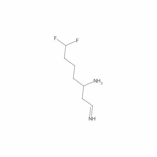 N=CCC(N)CCCC(F)F